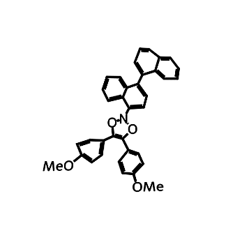 COc1ccc(C2=C(c3ccc(OC)cc3)ON(c3ccc(-c4cccc5ccccc45)c4ccccc34)O2)cc1